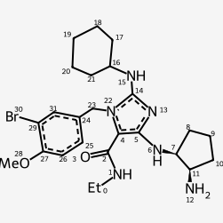 CCNC(=O)c1c(N[C@H]2CCC[C@H]2N)nc(NC2CCCCC2)n1Cc1ccc(OC)c(Br)c1